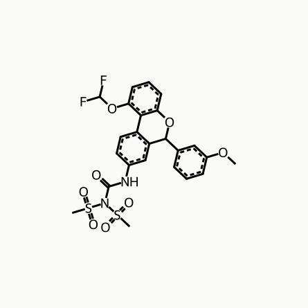 COc1cccc(C2Oc3cccc(OC(F)F)c3-c3ccc(NC(=O)N(S(C)(=O)=O)S(C)(=O)=O)cc32)c1